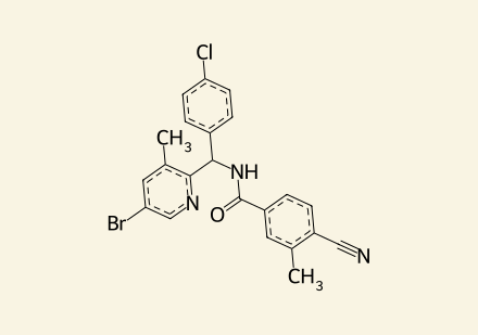 Cc1cc(C(=O)NC(c2ccc(Cl)cc2)c2ncc(Br)cc2C)ccc1C#N